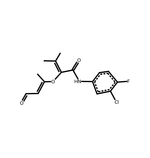 CC(C)=C(O/C(C)=C/C=O)C(=O)Nc1ccc(F)c(Cl)c1